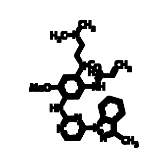 C=CC(=O)Nc1cc(Nc2nccc(-n3nc(C)c4ccccc43)n2)c(OC)cc1N(C)CCN(C)C